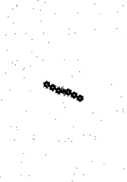 c1ccc(-c2ccc(-c3ccc4c(c3)sc3c5ccc(-c6ccc(-c7ccccc7)cc6)cc5sc43)cc2)cc1